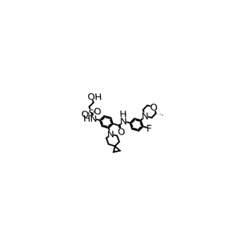 C[C@@H]1CN(c2cc(NC(=O)c3ccc(NS(=O)(=O)CCO)cc3N3CCC4(CC3)CC4)ccc2F)CCO1